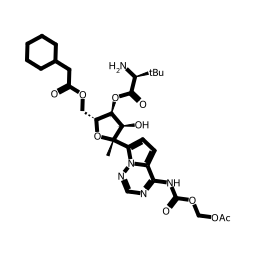 CC(=O)OCOC(=O)Nc1ncnn2c([C@]3(C)O[C@H](COC(=O)CC4CCCCC4)[C@@H](OC(=O)[C@@H](N)C(C)(C)C)[C@H]3O)ccc12